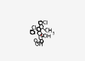 CCC1C=c2c(Cl)cccc2=c2ccc3c(c21)CCC(Cc1c(C(=O)O)cccc1C(=O)O)C=3.Clc1ccccc1